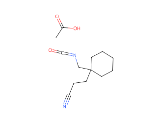 CC(=O)O.N#CCCC1(CN=C=O)CCCCC1